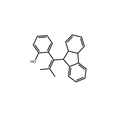 CC(C)=C(c1ccccc1O)C1c2ccccc2C2C=CC=CC21